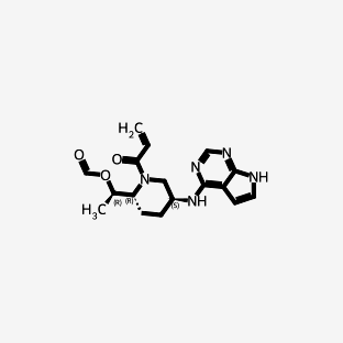 C=CC(=O)N1C[C@@H](Nc2ncnc3[nH]ccc23)CC[C@@H]1[C@@H](C)OC=O